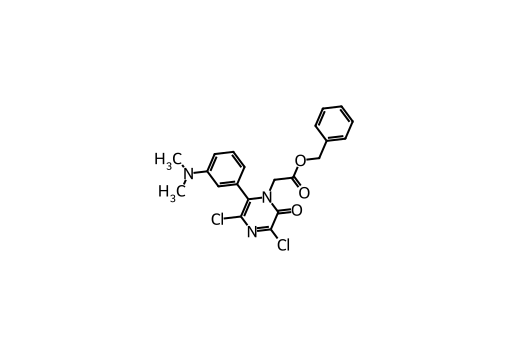 CN(C)c1cccc(-c2c(Cl)nc(Cl)c(=O)n2CC(=O)OCc2ccccc2)c1